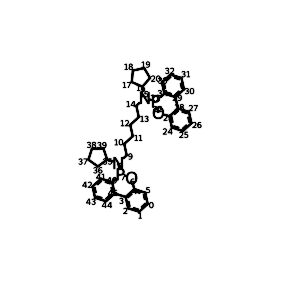 c1ccc2c(c1)OP(N(CCCCCCN(C1CCCC1)P1Oc3ccccc3-c3ccccc31)C1CCCC1)c1ccccc1-2